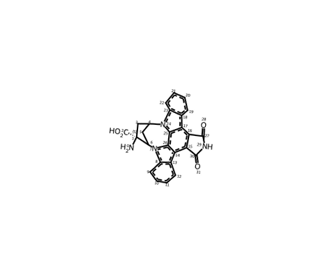 N[C@@]1(C(=O)O)CC2CC1n1c3ccccc3c3c4c(c5c6ccccc6n2c5c31)C(=O)NC4=O